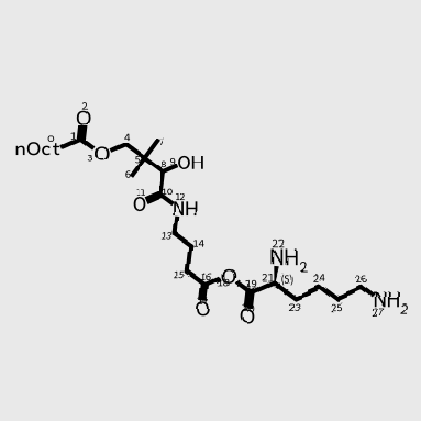 CCCCCCCCC(=O)OCC(C)(C)C(O)C(=O)NCCCC(=O)OC(=O)[C@@H](N)CCCCN